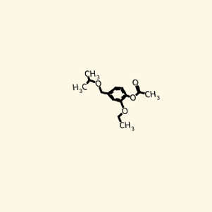 CCOc1cc(COC(C)C)ccc1OC(C)=O